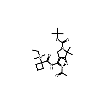 CC[Si](C)(C)C1(C(=O)Nc2c3c(nn2C(C)=O)C(C)(C)N(C(=O)OC(C)(C)C)C3)CCC1